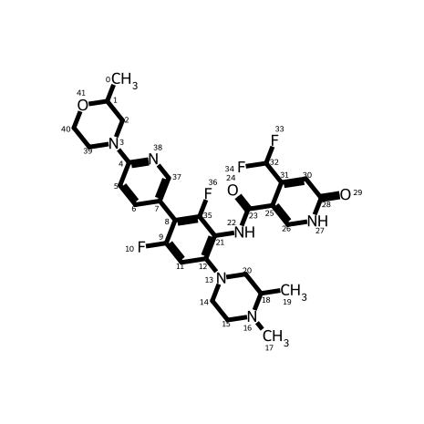 CC1CN(c2ccc(-c3c(F)cc(N4CCN(C)C(C)C4)c(NC(=O)c4c[nH]c(=O)cc4C(F)F)c3F)cn2)CCO1